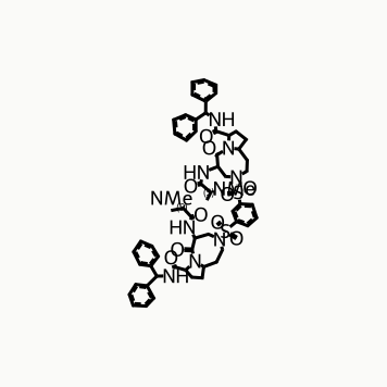 CN[C@@H](C)C(=O)NC1CN(S(=O)(=O)c2cccc(S(=O)(=O)N3CCC4CCC(C(=O)NC(c5ccccc5)c5ccccc5)N4C(=O)C(NC(=O)[C@H](C)NC)C3)c2)CCC2CCC(C(=O)NC(c3ccccc3)c3ccccc3)N2C1=O